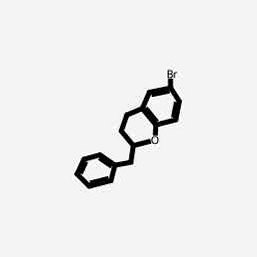 Brc1ccc2c(c1)CCC(Cc1ccccc1)O2